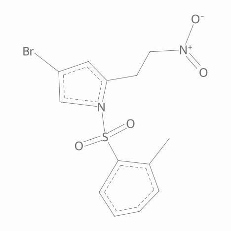 Cc1ccccc1S(=O)(=O)n1cc(Br)cc1CC[N+](=O)[O-]